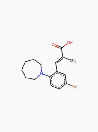 C/C(=C\c1cc(Br)ccc1N1CCCCCC1)C(=O)O